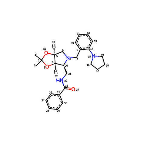 CC1(C)O[C@H]2[C@H](CN(Cc3ccccc3N3CCCC3)[C@H]2CNC(=O)c2ccccc2)O1